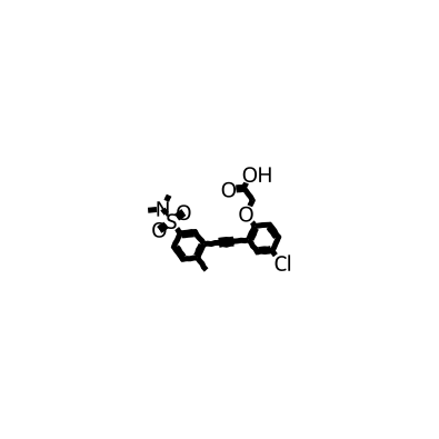 Cc1ccc(S(=O)(=O)N(C)C)cc1C#Cc1cc(Cl)ccc1OCC(=O)O